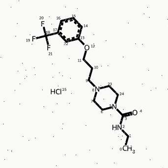 CCNC(=O)N1CCN(CCCOc2cccc(C(F)(F)F)c2)CC1.Cl